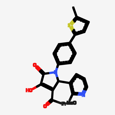 COc1ncccc1C1C(C(=O)C(C)C)=C(O)C(=O)N1c1ccc(-c2ccc(C)s2)cc1